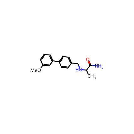 COc1cccc(-c2ccc(CNC(C)C(N)=O)cc2)c1